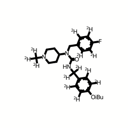 [2H]c1c([2H])c(CN(C(=O)NC([2H])([2H])c2c([2H])c([2H])c(OCC(C)C)c([2H])c2[2H])C2CCN(C([2H])([2H])[2H])CC2)c([2H])c([2H])c1F